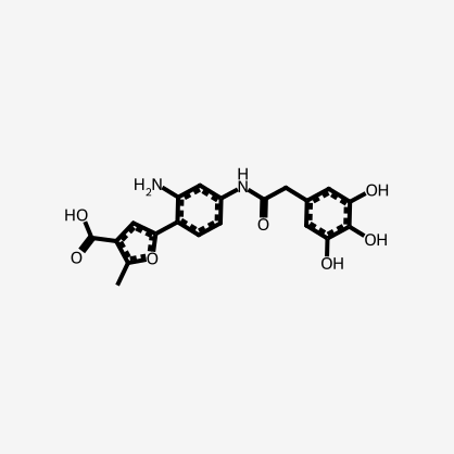 Cc1oc(-c2ccc(NC(=O)Cc3cc(O)c(O)c(O)c3)cc2N)cc1C(=O)O